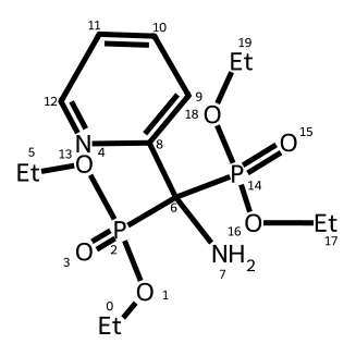 CCOP(=O)(OCC)C(N)(c1ccccn1)P(=O)(OCC)OCC